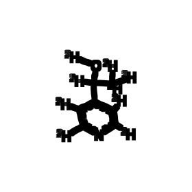 [2H]OC([2H])(c1c([2H])c([2H])nc([2H])c1[2H])C([2H])([2H])[2H]